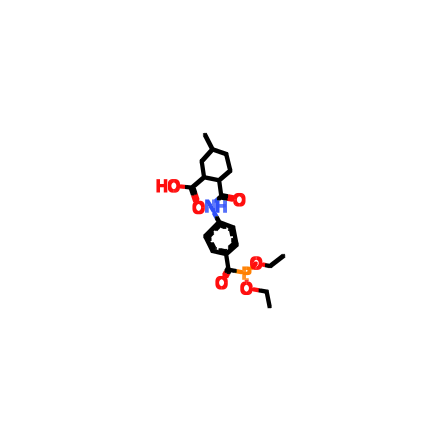 CCOP(OCC)C(=O)c1ccc(NC(=O)C2CCC(C)CC2C(=O)O)cc1